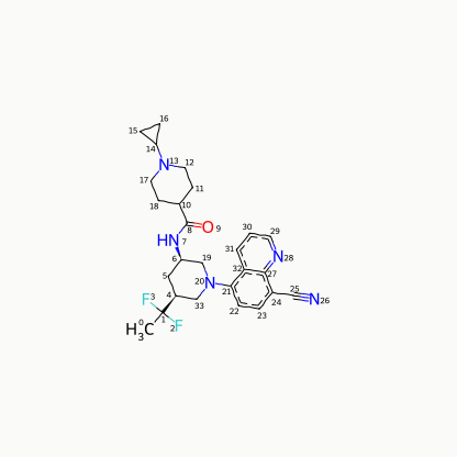 CC(F)(F)[C@H]1C[C@@H](NC(=O)C2CCN(C3CC3)CC2)CN(c2ccc(C#N)c3ncccc23)C1